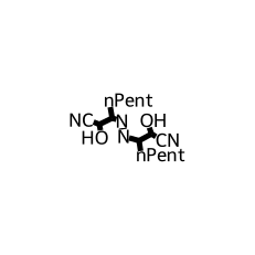 CCCCCC(/N=N/C(CCCCC)C(O)C#N)C(O)C#N